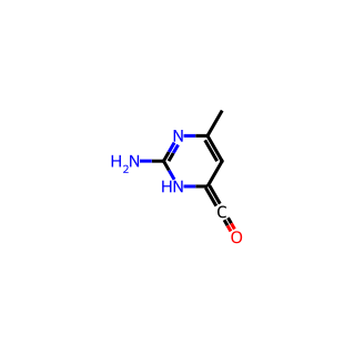 CC1=CC(=C=O)NC(N)=N1